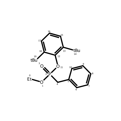 CCOP(=O)(Cc1ccccc1)Oc1c(C(C)(C)C)cccc1C(C)(C)C